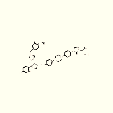 CC[C@@H]([C@H](C)O)n1ncn(-c2ccc(N3CCN(c4ccc(OC[C@@H]5CO[C@@](Cn6c[n+](Cc7ccc(OC(C)=O)c(Cl)c7)cn6)(c6ccc(F)cc6F)C5)cc4)CC3)cc2)c1=O.[Br-]